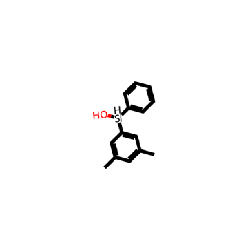 Cc1cc(C)cc([SiH](O)c2ccccc2)c1